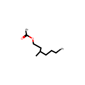 CC(C)CCCC(C)CCOC(=O)C(C)C